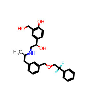 C[C@H](Cc1cccc(COCC(F)(F)c2ccccc2)c1)NC[C@H](O)c1ccc(O)c(CO)c1